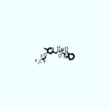 Cc1cnc(CNS(=O)(=O)c2nc3ccccc3[nH]2)cc1OCC(F)(F)C(F)(F)F